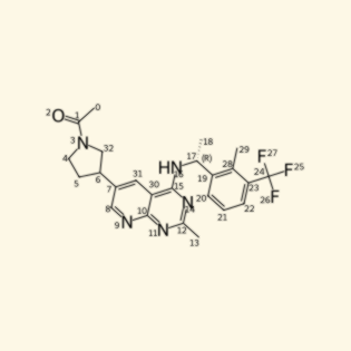 CC(=O)N1CCC(c2cnc3nc(C)nc(N[C@H](C)c4cccc(C(F)(F)F)c4C)c3c2)C1